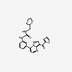 O=C(NCC1CCCO1)Nc1cccc(-c2ccnc3c(C(=O)c4cccs4)cnn23)c1